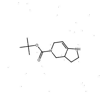 CC(C)(C)OC(=O)N1CC=C2NCCC2C1